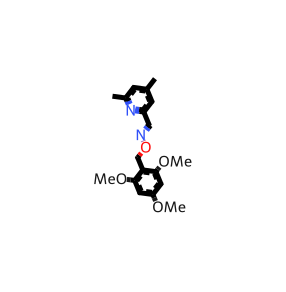 COc1cc(OC)c(CON=Cc2cc(C)cc(C)n2)c(OC)c1